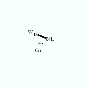 [BH2][Ni].[Cu].[Fe].[W]